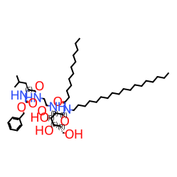 CCCCCCCCCCCCCCCCCCN(C(=O)CCCCCCCCCCC)[C@@H]1O[C@H](CO)[C@@H](O)[C@H](O)[C@H]1NC(=O)CNC(=O)[C@H](CC(C)C)NC(=O)OCc1ccccc1